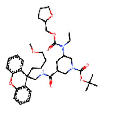 CCN(C(=O)OCC1CCCO1)[C@@H]1C[C@H](C(=O)NCC2(CCCCOC)c3ccccc3Oc3ccccc32)CN(C(=O)OC(C)(C)C)C1